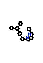 c1ccc(-c2cc(-c3ccccc3)cc(-c3ccc(-c4cccc(-c5ccc6ccc7ccc(-c8ccccc8)nc7c6n5)c4)cc3)c2)cc1